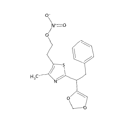 Cc1nc(C(Cc2ccccc2)C2=COCO2)sc1CCO[N+](=O)[O-]